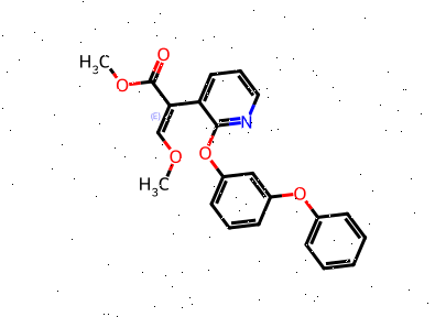 CO/C=C(/C(=O)OC)c1cccnc1Oc1cccc(Oc2ccccc2)c1